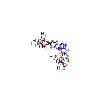 COC(=O)N[C@H](C(=O)N(CCS)Cc1ncc(-c2ccc(B3OC(C)(C)C(C)(C)O3)cc2)[nH]1)C(C)C